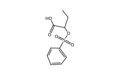 CCC(OS(=O)(=O)c1ccccc1)C(=O)O